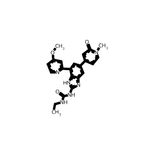 CCNC(=O)Nc1nc2cc(-c3ccn(C)c(=O)c3)cc(-c3cc(OC)ccn3)c2[nH]1